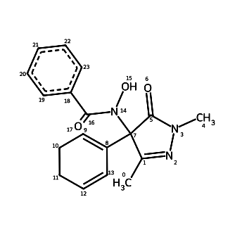 CC1=NN(C)C(=O)C1(C1=CCCC=C1)N(O)C(=O)c1ccccc1